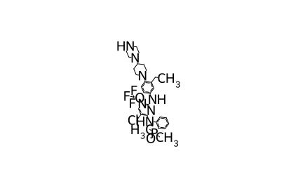 CCc1cc(Nc2ncc(Cl)c(Nc3ccccc3P(C)(C)=O)n2)c(OC(F)(F)F)cc1N1CCC(N2CCNCC2)CC1